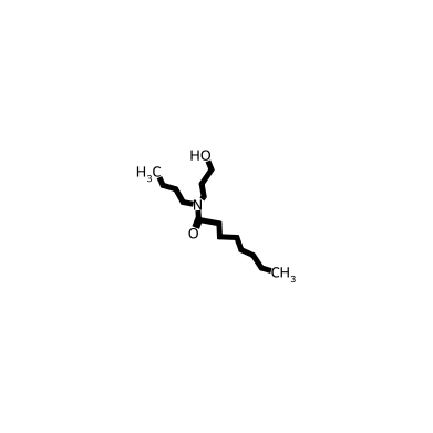 CCCCCCCC(=O)N(CCCC)CCCO